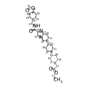 CCOC(=O)CC1CCC(c2ccc(-c3ccc4nc(C(=O)NCc5ccc6c(c5)OCO6)cn4c3)cc2)CC1